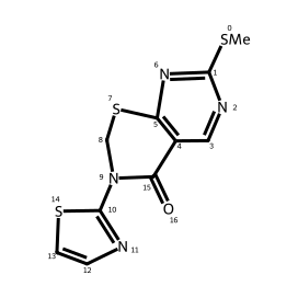 CSc1ncc2c(n1)SCN(c1nccs1)C2=O